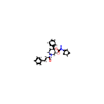 O=C(NC1CCCC1)OC1(c2ccccc2)CCN(C(=O)CCc2ccccc2)CC1